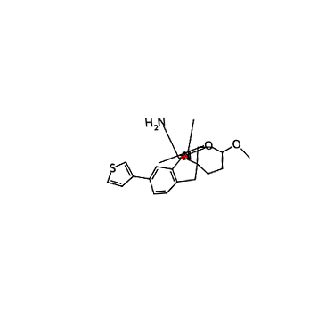 COC1CCC2(CC1)Cc1ccc(-c3ccsc3)cc1C21N=C(N)N(C)C1=O